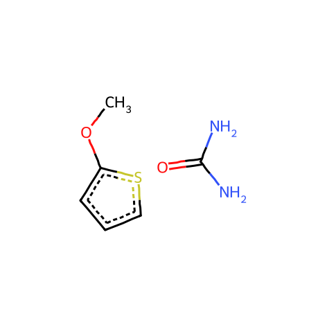 COc1cccs1.NC(N)=O